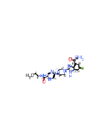 CCCNC(=O)c1cnc(N2CCN(c3nc4c(C(N)=O)cc(F)cc4[nH]3)CC2)cn1